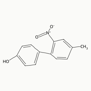 Cc1ccc(-c2ccc(O)cc2)c([N+](=O)[O-])c1